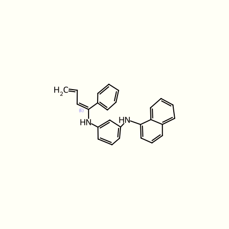 C=C/C=C(/Nc1cccc(Nc2cccc3ccccc23)c1)c1ccccc1